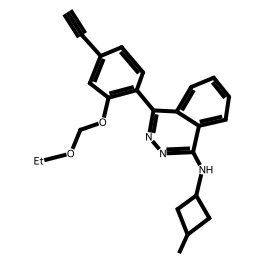 C#Cc1ccc(-c2nnc(NC3CC(C)C3)c3ccccc23)c(OCOCC)c1